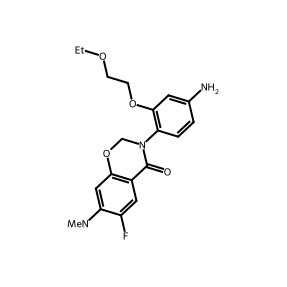 CCOCCOc1cc(N)ccc1N1COc2cc(NC)c(F)cc2C1=O